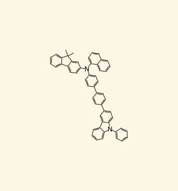 CC1(C)c2ccccc2-c2ccc(N(c3ccc(-c4ccc(-c5ccc6c(c5)c5ccccc5n6-c5ccccc5)cc4)cc3)c3cccc4ccccc34)cc21